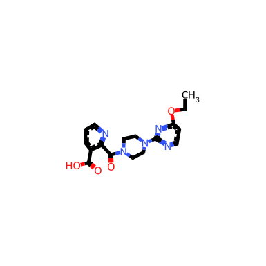 CCOc1ccnc(N2CCN(C(=O)c3ncccc3C(=O)O)CC2)n1